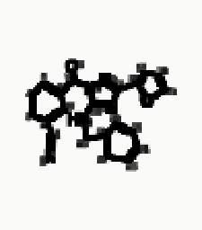 N#Cc1cccc(C(=O)n2nc(-c3ccco3)nc2NCc2ccccc2)c1